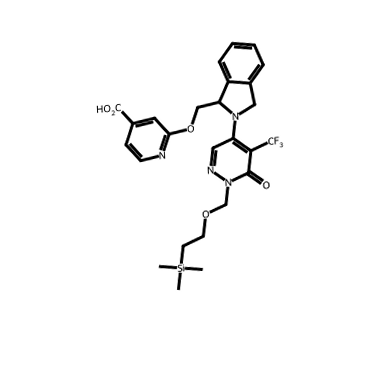 C[Si](C)(C)CCOCn1ncc(N2Cc3ccccc3C2COc2cc(C(=O)O)ccn2)c(C(F)(F)F)c1=O